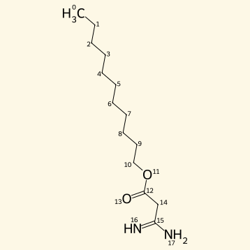 CCCCCCCCCCCOC(=O)CC(=N)N